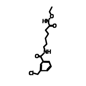 CCONC(=O)CCCCCNC(=O)c1cccc(CCl)c1